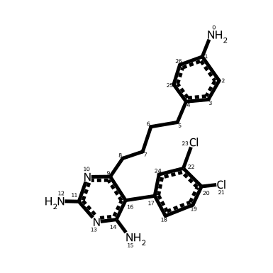 Nc1ccc(CCCCc2nc(N)nc(N)c2-c2ccc(Cl)c(Cl)c2)cc1